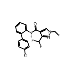 O=C(Nc1ccccc1-c1ccc(Cl)cc1)c1cn(CI)nc1C(F)F